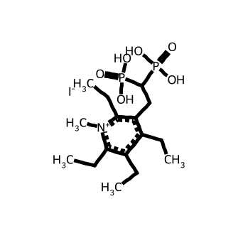 CCc1c(CC)c(CC)[n+](C)c(CC)c1CC(P(=O)(O)O)P(=O)(O)O.[I-]